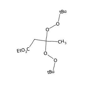 CCOC(=O)CC(C)(OOC(C)(C)C)OOC(C)(C)C